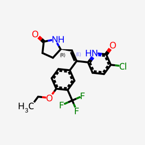 CCOc1ccc(/C(=C\[C@H]2CCC(=O)N2)c2ccc(Cl)c(=O)[nH]2)cc1C(F)(F)F